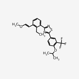 CCc1c(C=COC)cccc1-c1nsc(-c2ccc(OC(C)C)c(C(F)(F)F)c2)n1